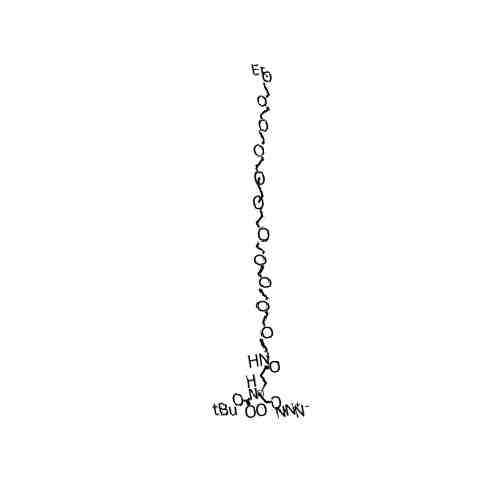 CCOCCOCCOCCOCCOCCOCCOCCOCCOCCOCCOCCNC(=O)CC[C@H](NC(=O)OC(C)(C)C)C(=O)ON=[N+]=[N-]